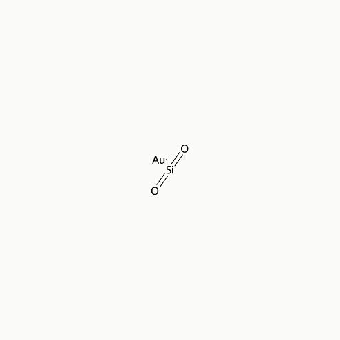 O=[Si]=O.[Au]